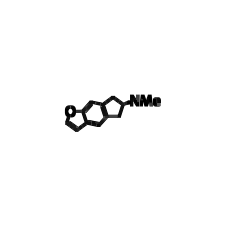 CN[C@H]1Cc2cc3ccoc3cc2C1